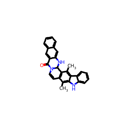 Cc1c2c(c(C)c3c1[nH]c1ccccc13)C1Nc3cc4ccccc4cc3C(=O)N1C=C2